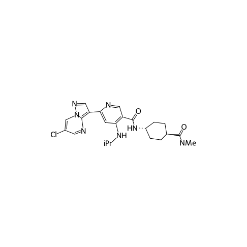 CNC(=O)[C@H]1CC[C@H](NC(=O)c2cnc(-c3cnn4cc(Cl)cnc34)cc2NC(C)C)CC1